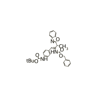 CC(c1nc2ccccc2o1)[C@H](Cc1ccc(NC(=O)OC(C)(C)C)cc1)NC(=O)OCc1ccccc1